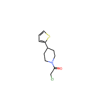 O=C(CCl)N1CCC(c2cccs2)CC1